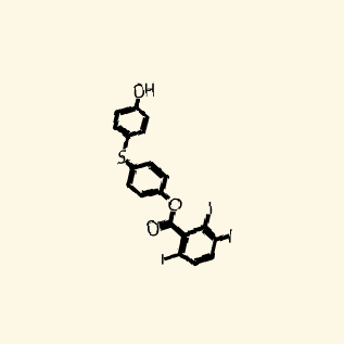 O=C(Oc1ccc(Sc2ccc(O)cc2)cc1)c1c(I)ccc(I)c1I